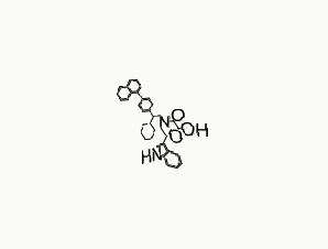 O=C(O)C(=O)N(CCc1c[nH]c2ccccc12)CC(c1ccc(-c2cccc3ccccc23)cc1)C1CCCCC1